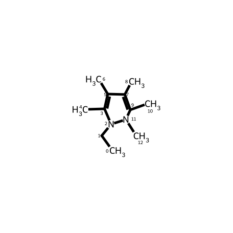 CCN1C(C)=C(C)C(C)=C(C)N1C